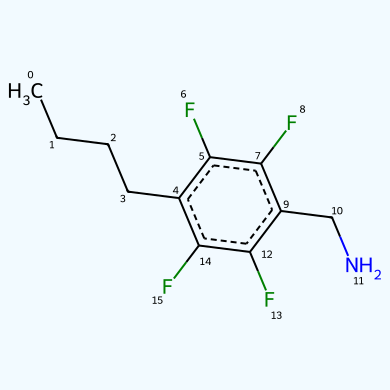 CCCCc1c(F)c(F)c(CN)c(F)c1F